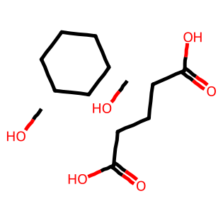 C1CCCCC1.CO.CO.O=C(O)CCCC(=O)O